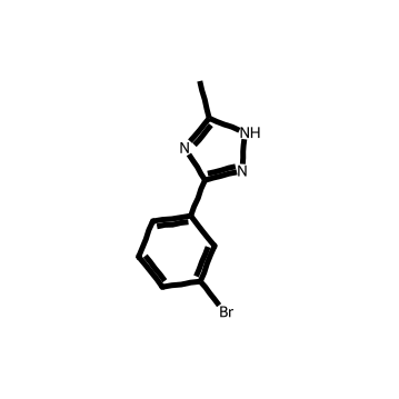 Cc1nc(-c2cccc(Br)c2)n[nH]1